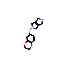 c1cc2c(cc1SN1CC3=C(CNC3)C1)OCCO2